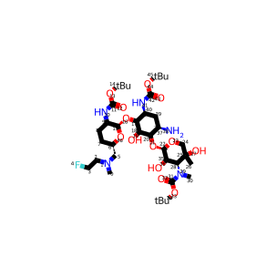 CN(CCF)C[C@@H]1CCC(NC(=O)OC(C)(C)C)[C@@H](OC2C(O)C(O[C@H]3OCC(C)(O)[C@H](N(C)C(=O)OC(C)(C)C)C3O)[C@H](N)C[C@@H]2NC(=O)OC(C)(C)C)O1